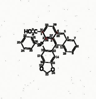 O=C(O)CCc1ccc2ccccc2c1-c1cc2c(cc1P(c1ccccc1)c1ccccc1)OCO2